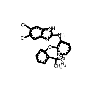 CC(C)(C)c1ccccc1Oc1ncccc1Nc1nc2cc(Cl)c(Cl)cc2[nH]1